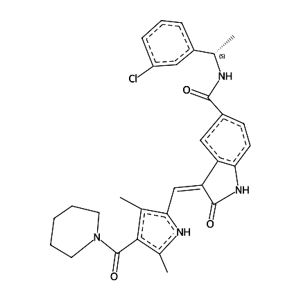 Cc1[nH]c(C=C2C(=O)Nc3ccc(C(=O)N[C@@H](C)c4cccc(Cl)c4)cc32)c(C)c1C(=O)N1CCCCC1